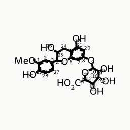 COc1cc(C2Oc3cc(OC4O[C@H](C(=O)O)[C@@H](O)[C@H](O)[C@H]4O)cc(O)c3CC2O)ccc1O